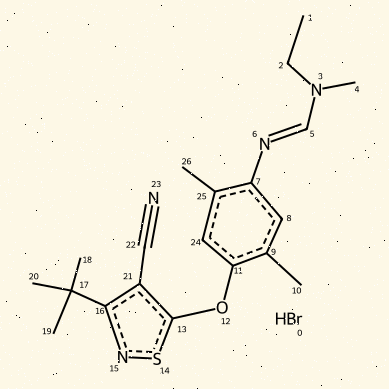 Br.CCN(C)/C=N/c1cc(C)c(Oc2snc(C(C)(C)C)c2C#N)cc1C